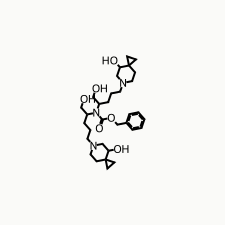 O=C(OCc1ccccc1)N(C(CO)CCCN1CCC2(CC2)C(O)C1)C(CO)CCCN1CCC2(CC2)C(O)C1